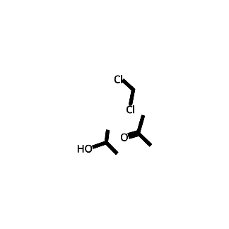 CC(C)=O.CC(C)O.ClCCl